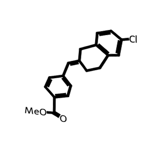 COC(=O)c1ccc(/C=C2\CCc3cc(Cl)ccc3C2)cc1